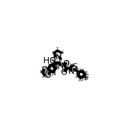 O=C(N[C@H](CN1CCCC1)[C@H](O)c1ccc2c(c1)OCCO2)C(=O)c1csc(-c2ccc(F)cc2)n1